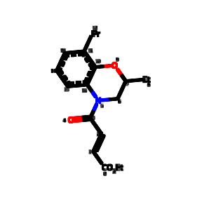 CCOC(=O)C=CC(=O)N1CC(CC)Oc2c(C(C)C)cccc21